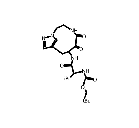 CC(C)C(NC(=O)OCC(C)(C)C)C(=O)NC1Cc2cnn(c2)CCNC(=O)C1=O